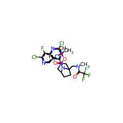 CN(CC12CCC(CN(c3nc(Cl)nc4c(F)c(Cl)ncc34)C1)N2C(=O)OC(C)(C)C)C(=O)C(F)(F)F